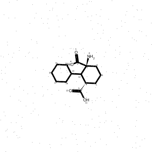 N[C@@]1(C(=O)O)CCC[C@H](C(=O)O)C1C1CCCCC1